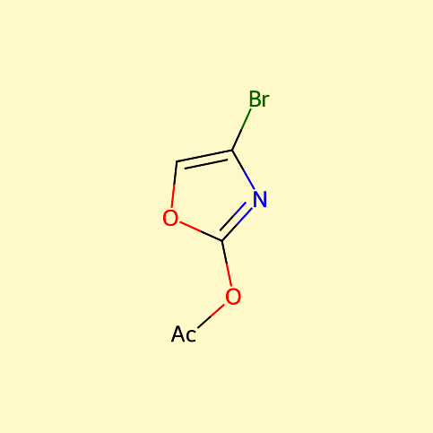 CC(=O)Oc1nc(Br)co1